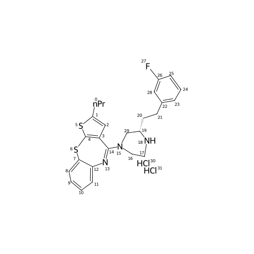 CCCc1cc2c(s1)Sc1ccccc1N=C2N1CCN[C@@H](CCc2cccc(F)c2)C1.Cl.Cl